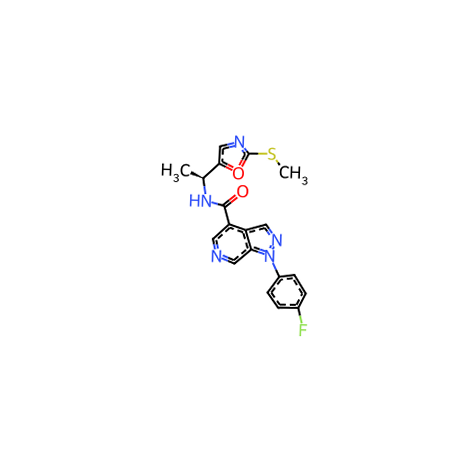 CSc1ncc([C@H](C)NC(=O)c2cncc3c2cnn3-c2ccc(F)cc2)o1